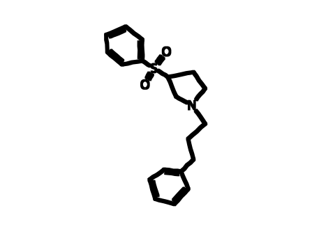 O=S(=O)(c1ccccc1)C1CCN(CCCc2ccccc2)C1